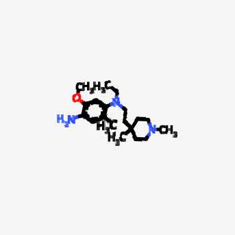 CCN(CCC1(C)CCN(C)CC1)c1cc(OC)c(N)cc1C